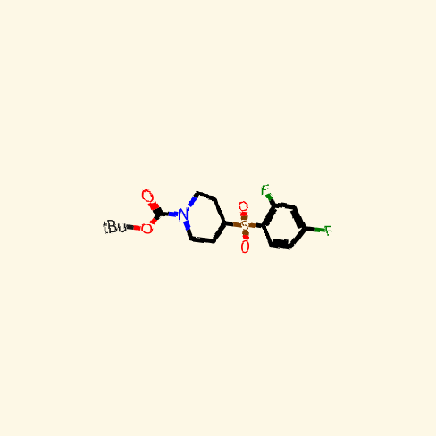 CC(C)(C)OC(=O)N1CCC(S(=O)(=O)c2ccc(F)cc2F)CC1